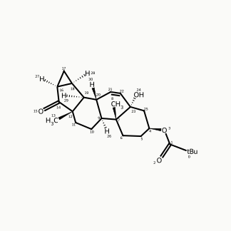 CC(C)(C)C(=O)O[C@H]1CC[C@]2(C)[C@H]3CC[C@]4(C)C(=O)[C@H]5C[C@H]5[C@H]4[C@@H]3C=C[C@@]2(O)C1